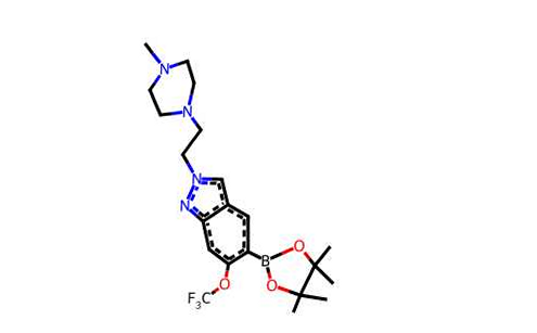 CN1CCN(CCn2cc3cc(B4OC(C)(C)C(C)(C)O4)c(OC(F)(F)F)cc3n2)CC1